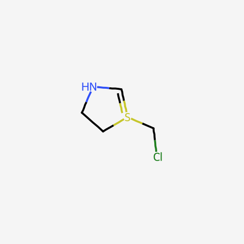 ClCS1=CNCC1